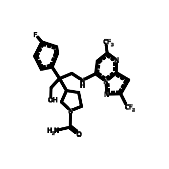 NC(=O)N1CCC(C(CO)(CNc2cc(C(F)(F)F)nc3cc(C(F)(F)F)nn23)c2ccc(F)cc2)C1